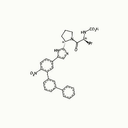 CC(C)[C@H](NC(=O)O)C(=O)N1CCC[C@H]1c1ncc(-c2ccc([N+](=O)[O-])c(-c3cccc(-c4ccccc4)c3)c2)[nH]1